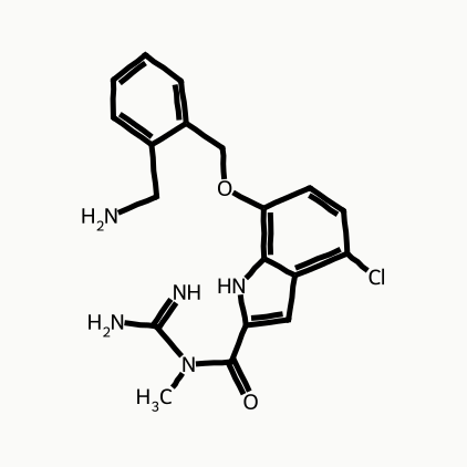 CN(C(=N)N)C(=O)c1cc2c(Cl)ccc(OCc3ccccc3CN)c2[nH]1